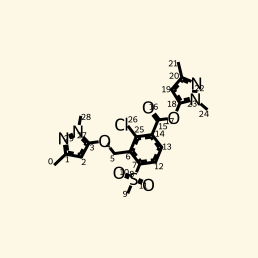 Cc1cc(OCc2c(S(C)(=O)=O)ccc(C(=O)Oc3cc(C)nn3C)c2Cl)n(C)n1